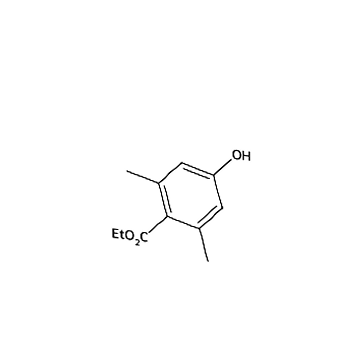 CCOC(=O)c1c(C)cc(O)cc1C